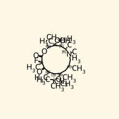 CC[C@H]1OC(=O)[C@@](C)(F)C(=O)[C@H](C)[C@@H](C(C)(C)C)[C@](C)(OC)C[C@@H](C)CN(C)[C@H](C)[C@@H](O)[C@]1(C)O